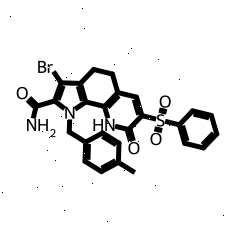 Cc1ccc(Cn2c(C(N)=O)c(Br)c3c2-c2[nH]c(=O)c(S(=O)(=O)c4ccccc4)cc2CC3)cc1